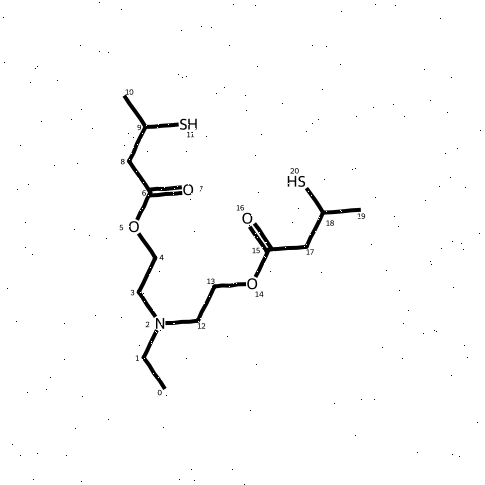 CCN(CCOC(=O)CC(C)S)CCOC(=O)CC(C)S